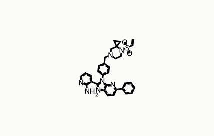 C=CS(=O)(=O)N1CCN(Cc2ccc(-n3c(-c4cccnc4N)nc4ccc(-c5ccccc5)nc43)cc2)CC12CC2